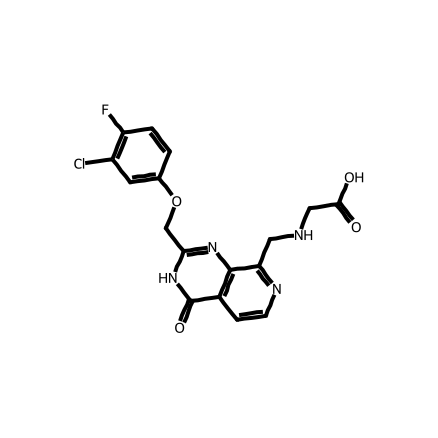 O=C(O)CNCc1nccc2c(=O)[nH]c(COc3ccc(F)c(Cl)c3)nc12